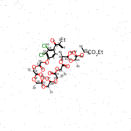 C=C(CC)C(=O)c1ccc(OCC(=O)O[C@@H](C)C(=O)O[C@@H](C)C(=O)O[C@@H](C)C(=O)O[C@@H](C)C(=O)O[C@@H](C)C(=O)O[C@@H](C)C(=O)O[C@@H](C)C(=O)O[C@@H](C)C(=O)OCC)c(Cl)c1Cl